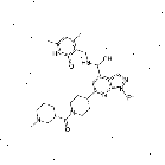 Cc1cc(C)c(CNC(O)c2cc(C3CCN(C(=O)C4CCCN(C)C4)CC3)nc3c2cnn3C(C)C)c(=O)[nH]1